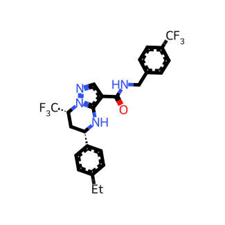 CCc1ccc([C@@H]2C[C@H](C(F)(F)F)n3ncc(C(=O)NCc4ccc(C(F)(F)F)cc4)c3N2)cc1